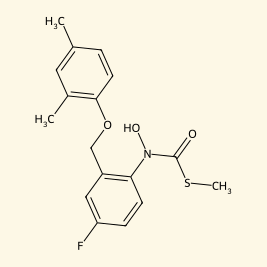 CSC(=O)N(O)c1ccc(F)cc1COc1ccc(C)cc1C